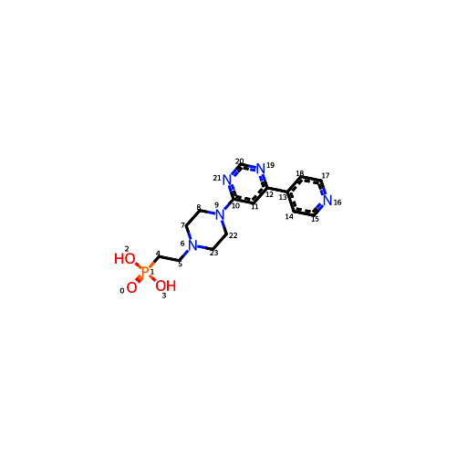 O=P(O)(O)CCN1CCN(c2cc(-c3ccncc3)ncn2)CC1